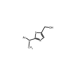 CC(=O)N(C)c1ncc(CO)s1